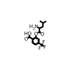 CC(C)CC(N)C(=O)Oc1cc(C(F)(F)F)ccc1C(=O)O